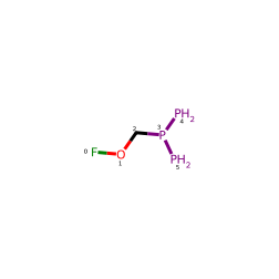 FOCP(P)P